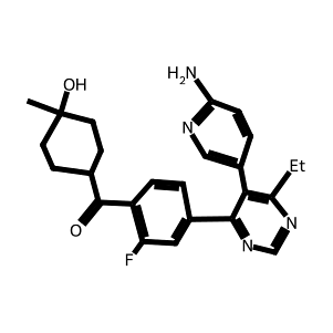 CCc1ncnc(-c2ccc(C(=O)C3CCC(C)(O)CC3)c(F)c2)c1-c1ccc(N)nc1